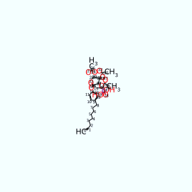 C#CCCCCCCCc1ccc(O[C@@]2(CCP(=O)(O)O)OC[C@H](OC(C)=O)[C@H](OC(C)=O)[C@H]2OC(C)=O)cc1